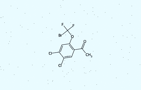 CC(=O)c1cc(Cl)c(Cl)cc1OC(F)(F)Br